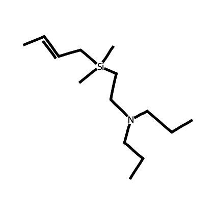 CC=CC[Si](C)(C)CCN(CCC)CCC